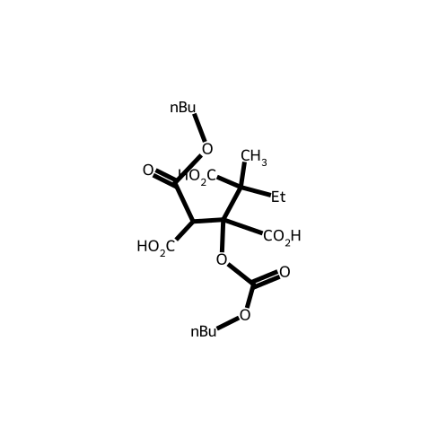 CCCCOC(=O)OC(C(=O)O)(C(C(=O)O)C(=O)OCCCC)C(C)(CC)C(=O)O